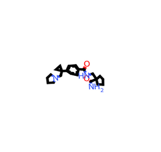 NC(=O)C1(CNC(=O)c2ccc(C3(CN4CCCC4)CC3)cc2)CCCC1